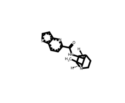 C[C@H]1[C@H](NC(=O)c2ccc3sccc3n2)C2CCN1CC2